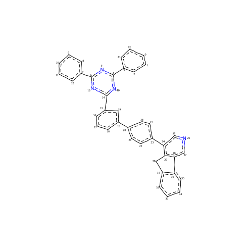 c1ccc(-c2nc(-c3ccccc3)nc(-c3cccc(-c4ccc(-c5cncc6c5Cc5ccccc5-6)cc4)c3)n2)cc1